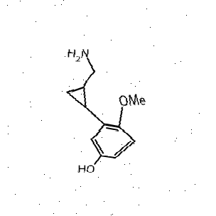 COc1ccc(O)cc1C1CC1CN